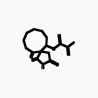 C=C(C)C(=O)OC1CCCCCCC(=O)C12CC(=O)NC2=O